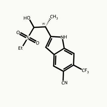 CCS(=O)(=O)C(O)[C@H](C)c1cc2cc(C#N)c(C(F)(F)F)cc2[nH]1